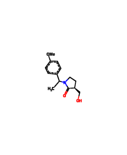 COc1ccc(C(C)N2CC[C@@H](CO)C2=O)cc1